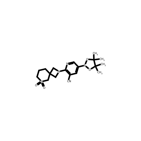 CC1(C)OB(c2cnc(N3CC4(CCCS(=O)(=O)C4)C3)c(C#N)c2)OC1(C)C